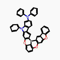 c1ccc(N(c2ccccc2)c2ccc3c4cc5c(cc4n(-c4ccccc4)c3c2)Oc2cccc3c2B5c2cc4c(cc2O3)oc2ccccc24)cc1